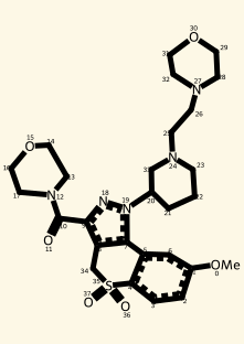 COc1ccc2c(c1)-c1c(c(C(=O)N3CCOCC3)nn1C1CCCN(CCN3CCOCC3)C1)CS2(=O)=O